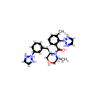 Cc1cccc(C(=O)N2[C@H](Cc3cccc(-n4nccn4)c3)COC[C@@H]2C)c1-n1nccn1